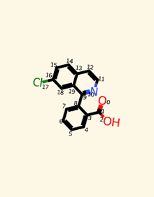 O=C(O)c1ccccc1-c1nccc2ccc(Cl)cc12